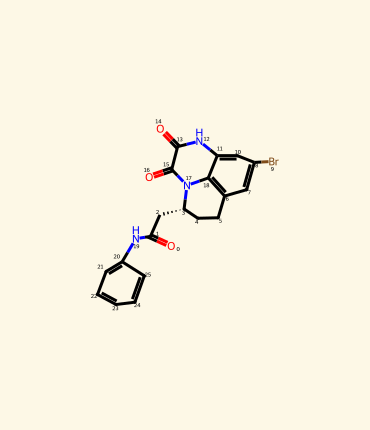 O=C(C[C@H]1CCc2cc(Br)cc3[nH]c(=O)c(=O)n1c23)Nc1ccccc1